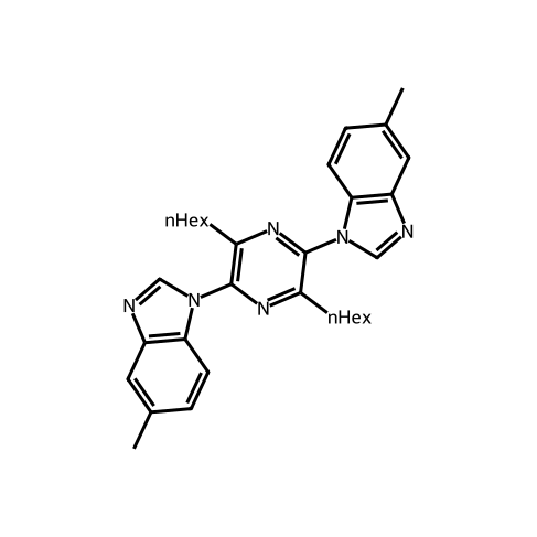 CCCCCCc1nc(-n2cnc3cc(C)ccc32)c(CCCCCC)nc1-n1cnc2cc(C)ccc21